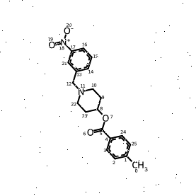 Cc1ccc(C(=O)OC2CCN(Cc3cccc([N+](=O)[O-])c3)CC2)cc1